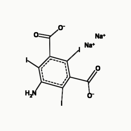 Nc1c(I)c(C(=O)[O-])c(I)c(C(=O)[O-])c1I.[Na+].[Na+]